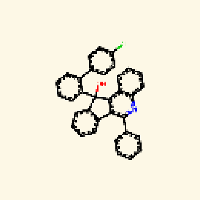 OC1(c2ccccc2-c2ccc(Cl)cc2)c2ccccc2-c2c(-c3ccccc3)nc3ccccc3c21